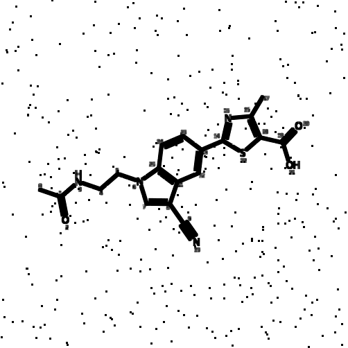 CC(=O)NCCn1cc(C#N)c2cc(-c3nc(C)c(C(=O)O)s3)ccc21